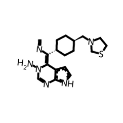 C=N/C(=C1/c2cc[nH]c2N=CN1N)[C@H]1CC[C@H](CN2CCSC2)CC1